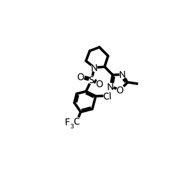 Cc1nc(C2CCCCN2S(=O)(=O)c2ccc(C(F)(F)F)cc2Cl)no1